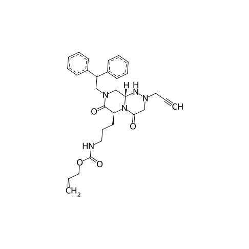 C#CCN1CC(=O)N2[C@H](CN(CC(c3ccccc3)c3ccccc3)C(=O)[C@@H]2CCCNC(=O)OCC=C)N1